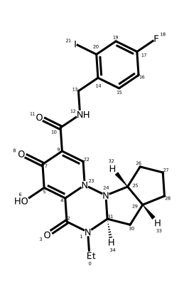 CCN1C(=O)c2c(O)c(=O)c(C(=O)NCc3ccc(F)cc3I)cn2N2[C@@H]3CCC[C@@H]3C[C@@H]12